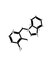 Cc1c(Cl)ccnc1Cn1cnc2ccccc21